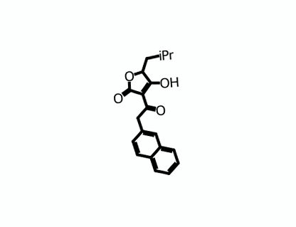 CC(C)CC1OC(=O)C(C(=O)Cc2ccc3ccccc3c2)=C1O